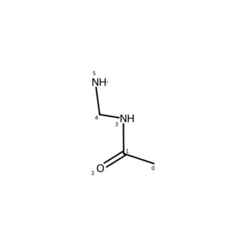 CC(=O)NC[NH]